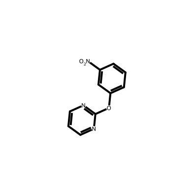 O=[N+]([O-])c1cccc(Oc2ncccn2)c1